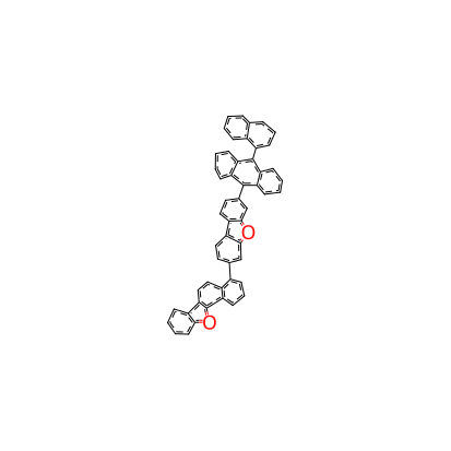 c1ccc2c(-c3c4ccccc4c(-c4ccc5c(c4)oc4cc(-c6cccc7c6ccc6c8ccccc8oc76)ccc45)c4ccccc34)cccc2c1